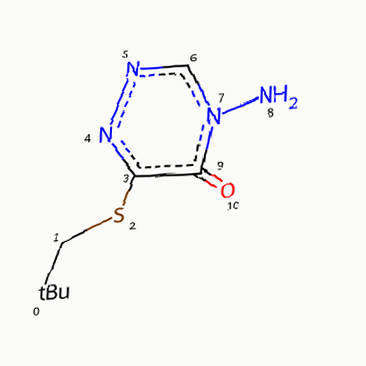 CC(C)(C)CSc1nncn(N)c1=O